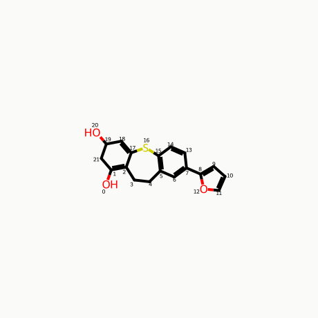 OC1=C2CCc3cc(-c4ccco4)ccc3SC2=CC(O)C1